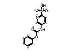 NS(=O)(=O)c1ccc(NC(=O)Oc2ccccc2)cn1